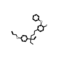 C=CCOc1ccc(C(C=C)(CC)CCCc2ccc(F)c(Oc3ccccc3)c2)cc1